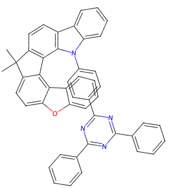 CC1(C)c2ccc3oc4ccccc4c3c2-c2c1ccc1c3ccccc3n(-c3ccc(-c4nc(-c5ccccc5)nc(-c5ccccc5)n4)cc3)c21